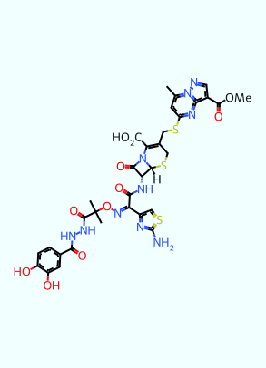 COC(=O)c1cnn2c(C)cc(SCC3=C(C(=O)O)N4C(=O)[C@@H](NC(=O)/C(=N\OC(C)(C)C(=O)NNC(=O)c5ccc(O)c(O)c5)c5csc(N)n5)[C@H]4SC3)nc12